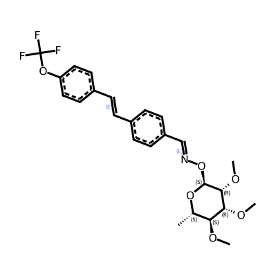 CO[C@@H]1[C@@H](OC)[C@H](C)O[C@@H](O/N=C/c2ccc(/C=C/c3ccc(OC(F)(F)F)cc3)cc2)[C@@H]1OC